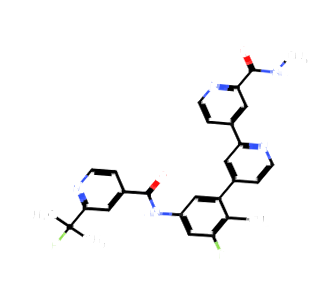 CNC(=O)c1cc(-c2cc(-c3cc(NC(=O)c4ccnc(C(C)(C)F)c4)cc(F)c3C)ccn2)ccn1